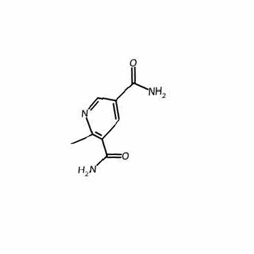 Cc1ncc(C(N)=O)cc1C(N)=O